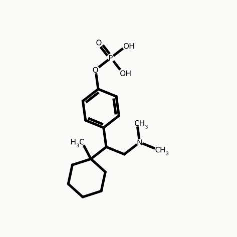 CN(C)CC(c1ccc(OP(=O)(O)O)cc1)C1(C)CCCCC1